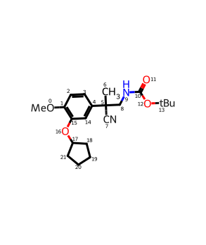 COc1ccc(C(C)(C#N)CNC(=O)OC(C)(C)C)cc1OC1CCCC1